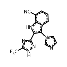 N#Cc1cccc2c(-n3ccnc3)c(-c3n[nH]c(C(F)(F)F)n3)[nH]c12